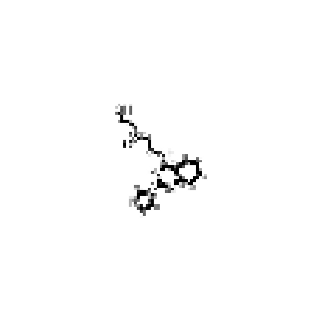 [O-][S+](CCO)CCNc1nc(-n2ccnc2)nc2ccccc12